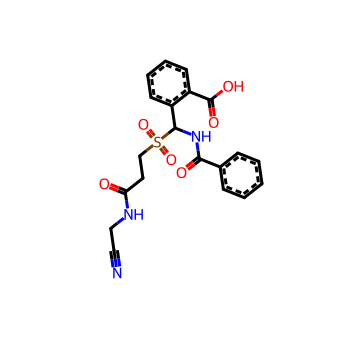 N#CCNC(=O)CCS(=O)(=O)C(NC(=O)c1ccccc1)c1ccccc1C(=O)O